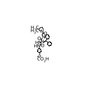 CC1(C)CCCN(C(=O)CN2C(=O)N(NC(=O)Nc3ccc(SCC(=O)O)cc3)C=C(c3ccccc3)c3ccccc32)C1